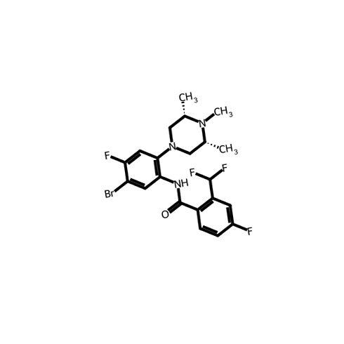 C[C@@H]1CN(c2cc(F)c(Br)cc2NC(=O)c2ccc(F)cc2C(F)F)C[C@H](C)N1C